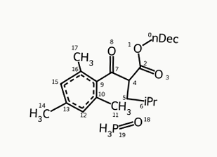 CCCCCCCCCCOC(=O)C(CC(C)C)C(=O)c1c(C)cc(C)cc1C.O=[PH3]